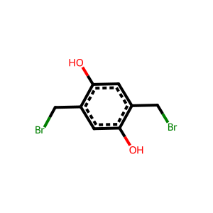 Oc1cc(CBr)c(O)cc1CBr